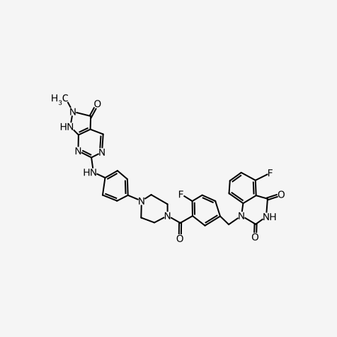 Cn1[nH]c2nc(Nc3ccc(N4CCN(C(=O)c5cc(Cn6c(=O)[nH]c(=O)c7c(F)cccc76)ccc5F)CC4)cc3)ncc2c1=O